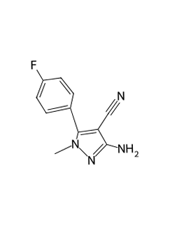 Cn1nc(N)c(C#N)c1-c1ccc(F)cc1